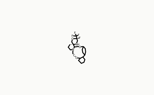 FC(F)(F)[C@]1(F)CN[C@]2(CCCN3CCOC4CCCCC4C4CCC(CC4)OCC32)CO1